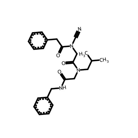 CC(C)CN(CC(=O)NCc1ccccc1)C(=O)CN(C#N)C(=O)Cc1ccccc1